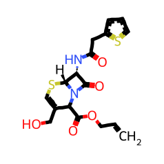 C=CCOC(=O)C1C(CO)=CS[C@@H]2[C@H](NC(=O)Cc3cccs3)C(=O)N12